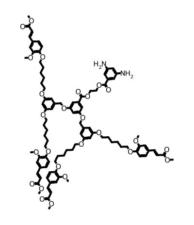 COC(=O)/C=C/c1ccc(OCCCCCCOc2cc(COc3cc(OCc4cc(OCCCCCCOc5ccc(/C=C/C(=O)OC)cc5OC)cc(OCCCCCCOc5ccc(/C=C/C(=O)OC)cc5OC)c4)cc(C(=O)OCCOC(=O)c4cc(N)cc(N)c4)c3)cc(OCCCCCCOc3ccc(/C=C/C(=O)OC)cc3OC)c2)c(OC)c1